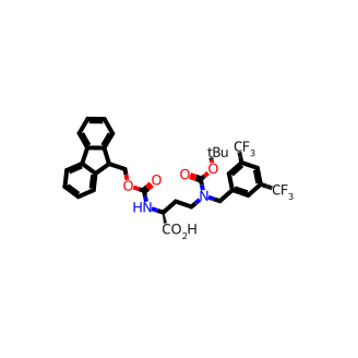 CC(C)(C)OC(=O)N(CC[C@H](NC(=O)OCC1c2ccccc2-c2ccccc21)C(=O)O)Cc1cc(C(F)(F)F)cc(C(F)(F)F)c1